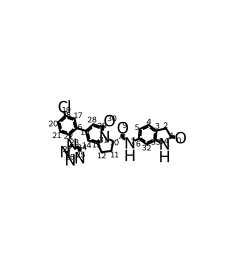 O=C1Cc2ccc(NC(=O)[C@@H]3CCc4cc(-c5cc(Cl)ccc5-n5cnnn5)cc(=O)n43)cc2N1